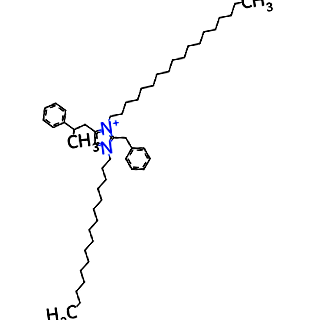 CCCCCCCCCCCCCCCCCC[n+]1c(CC(C)c2ccccc2)cn(CCCCCCCCCCCCCCCC)c1Cc1ccccc1